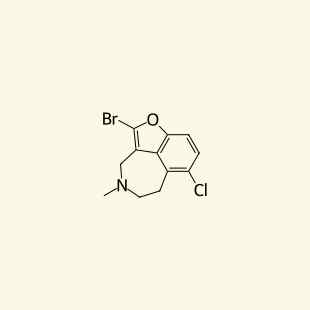 CN1CCc2c(Cl)ccc3oc(Br)c(c23)C1